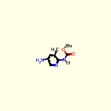 CCN(C(=O)OC(C)(C)C)c1ncc(N)cc1C